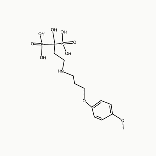 COc1ccc(OCCCNCCC(O)(P(=O)(O)O)P(=O)(O)O)cc1